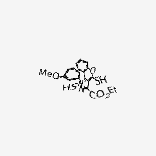 CCOC(=O)C1=N[N+](S)(c2cccc(OC)c2)C2C1=C(S)Oc1ccccc12